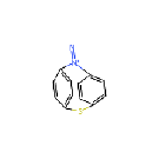 [N-]=[N+]1c2ccc(cc2)Sc2ccc1cc2